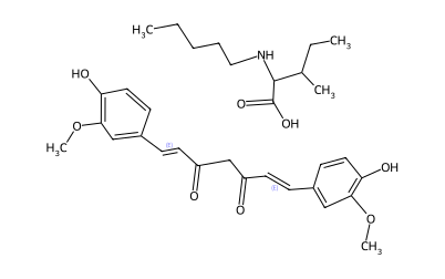 CCCCCNC(C(=O)O)C(C)CC.COc1cc(/C=C/C(=O)CC(=O)/C=C/c2ccc(O)c(OC)c2)ccc1O